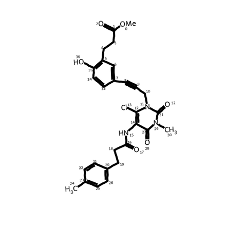 COC(=O)CCc1cc(C#CCn2c(Cl)c(NC(=O)CCc3ccc(C)cc3)c(=O)n(C)c2=O)ccc1O